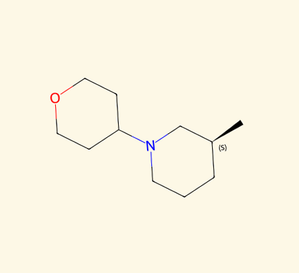 C[C@H]1CCCN(C2CCOCC2)C1